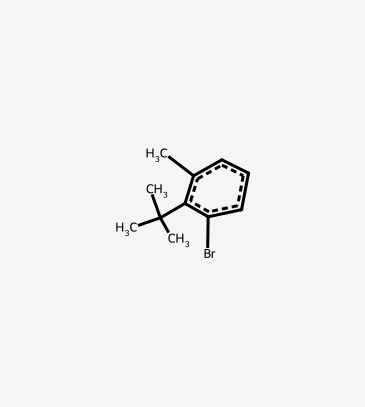 Cc1cccc(Br)c1C(C)(C)C